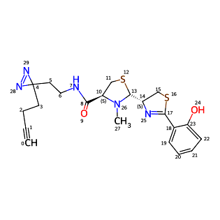 C#CCCC1(CCNC(=O)[C@H]2CSC([C@@H]3CSC(c4ccccc4O)=N3)N2C)N=N1